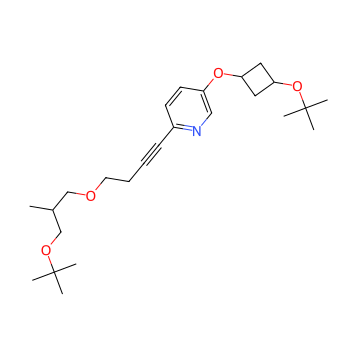 CC(COCCC#Cc1ccc(OC2CC(OC(C)(C)C)C2)cn1)COC(C)(C)C